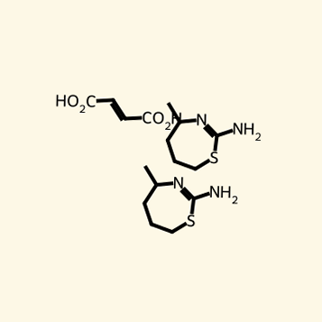 CC1CCCSC(N)=N1.CC1CCCSC(N)=N1.O=C(O)C=CC(=O)O